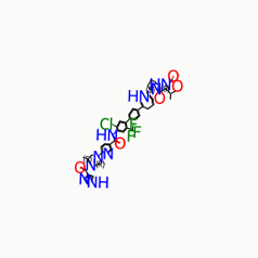 COC(=O)N[C@H](C(=O)N1CCC[C@H]1C1=C=CCC(c2ccc(-c3cc(Cl)c(NC(=O)c4ccc(N5C[C@H](C)N(C(=O)c6c[nH]cn6)C[C@H]5C)nc4)cc3C(F)(F)F)cc2)=CN1)C(C)C